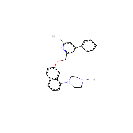 Cc1cc(-c2ccccc2)cc(COc2ccc3cccc(N4CCN(C)CC4)c3c2)n1